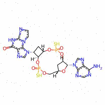 Nc1ncnc2c1ncn2[C@@H]1O[C@@H]2COP(=O)(S)O[C@@H]3[C@H](C[C@H]3n3cnc4c(=O)[nH]c5nccn5c43)OP(=O)(S)O[C@@H]1C2